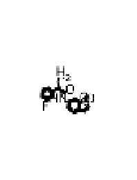 C=C(C(=O)Nc1ccc2c(c1)S(=O)(=O)C=C2)c1cccc(F)c1